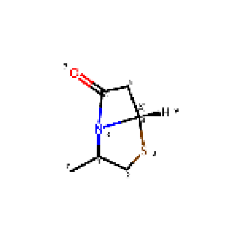 CC1CS[C@H]2CC(=O)N12